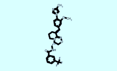 COc1cc(/C=C2\CCCN3C2=NOC[C@@H]3CNC(=O)c2cccc(C(F)(F)F)c2)ccc1-n1cnc(C)c1